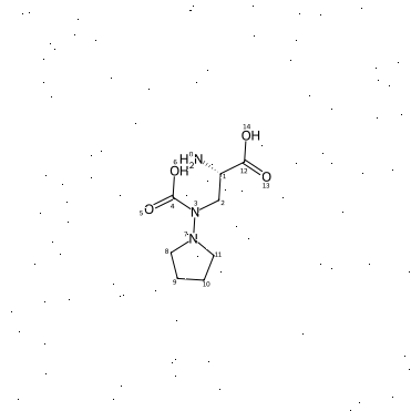 N[C@@H](CN(C(=O)O)N1CCCC1)C(=O)O